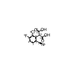 N#Cc1ccc(F)c(Cl)c1C(C(=O)O)C(=O)O